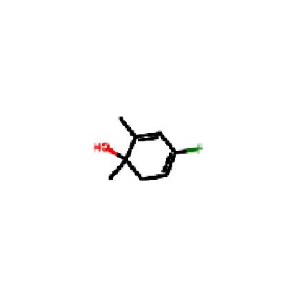 CC1=CC(F)=CCC1(C)O